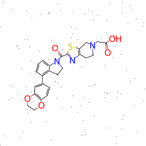 O=C(O)CN1CCc2nc(C(=O)N3CCc4c(-c5ccc6c(c5)OCCO6)cccc43)sc2C1